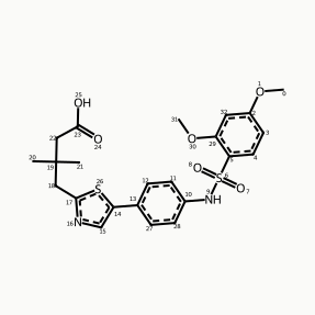 COc1ccc(S(=O)(=O)Nc2ccc(-c3cnc(CC(C)(C)CC(=O)O)s3)cc2)c(OC)c1